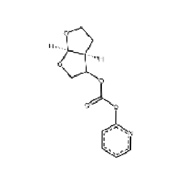 O=C(Oc1ccccn1)OC1CO[C@H]2OCC[C@@H]12